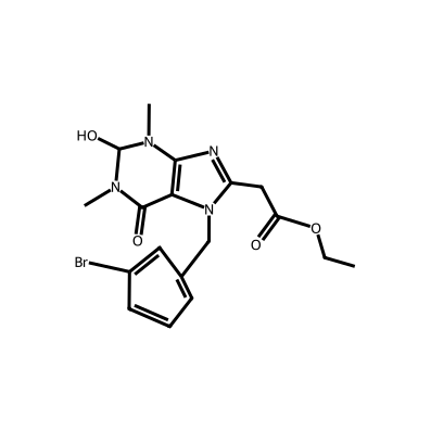 CCOC(=O)Cc1nc2c(n1Cc1cccc(Br)c1)C(=O)N(C)C(O)N2C